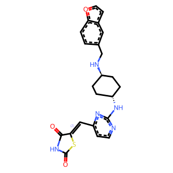 O=C1NC(=O)/C(=C/c2ccnc(N[C@H]3CC[C@H](NCc4ccc5occc5c4)CC3)n2)S1